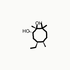 CC[C@H]1C[C@H](O)[C@](C)(O)C(C)(C)CC[C@H]1C